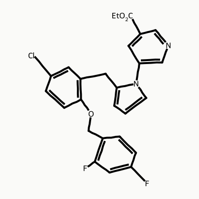 CCOC(=O)c1cncc(-n2cccc2Cc2cc(Cl)ccc2OCc2ccc(F)cc2F)c1